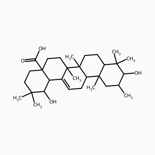 CC1CC2(C)C(CCC3(C)C2CC=C2C4C(O)C(C)(C)CCC4(C(=O)O)CCC23C)C(C)(C)C1O